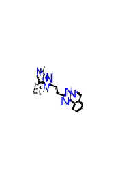 CCc1cnc(C)n2nc(CCc3nc4c5ccccc5ccn4n3)nc12